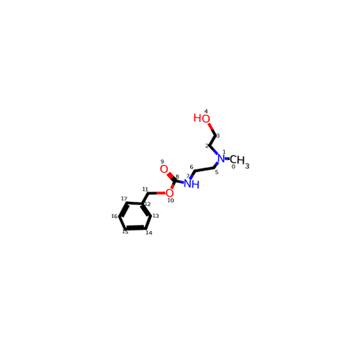 CN(CCO)CCNC(=O)OCc1ccccc1